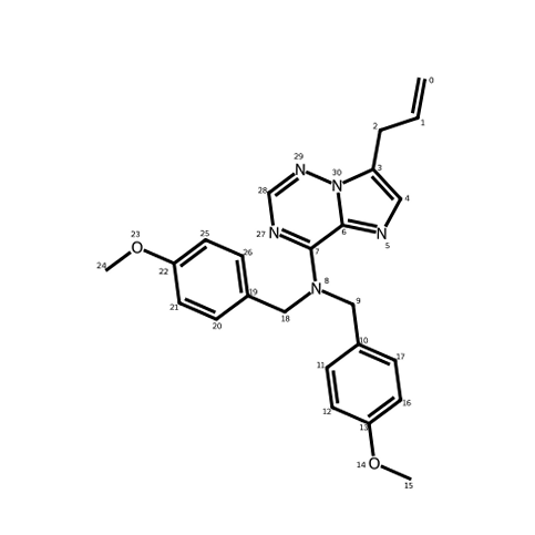 C=CCc1cnc2c(N(Cc3ccc(OC)cc3)Cc3ccc(OC)cc3)ncnn12